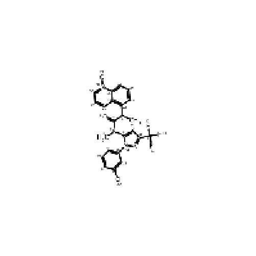 CC(C(=O)N(C)c1cc(C(F)(F)F)nn1-c1cccc(Cl)c1)c1cccc2c1ccc[n+]2[O-]